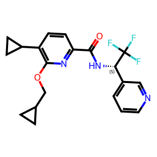 O=C(N[C@@H](c1cccnc1)C(F)(F)F)c1ccc(C2CC2)c(OCC2CC2)n1